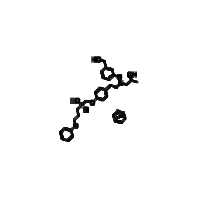 CC(O)CN(CCc1ccc(OC[P@@](=O)(O)CCCOc2ccccc2)cc1)Oc1cccc(CO)c1.c1cc2ccc1CO2